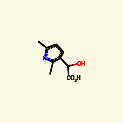 Cc1ccc(C(O)C(=O)O)c(C)n1